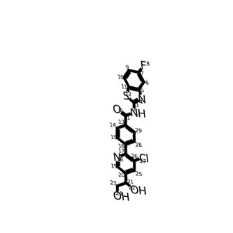 O=C(Nc1nc2cc(F)ccc2s1)c1ccc(-c2ncc(C(O)CO)cc2Cl)cc1